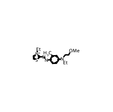 CCN(CCOC)c1ccc(/N=N/c2scc[n+]2CC)c(C)c1